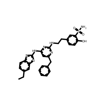 CCc1ccc2nc(Nc3cc(Cc4ccccc4)nc(NCCc4ccc(O)c(S(N)(=O)=O)c4)n3)sc2c1